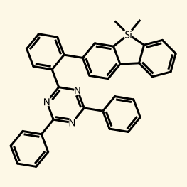 C[Si]1(C)c2ccccc2-c2ccc(-c3ccccc3-c3nc(-c4ccccc4)nc(-c4ccccc4)n3)cc21